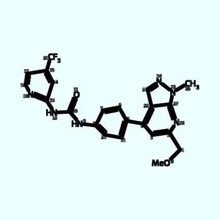 COCc1cc(-c2ccc(NC(=O)Nc3cc(C(F)(F)F)ccn3)cc2)c2cnn(C)c2n1